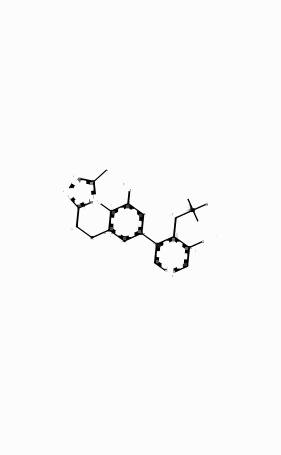 Cc1nnc2n1-c1c(Cl)cc(-c3cncc(F)c3CC(F)(F)F)cc1CC2